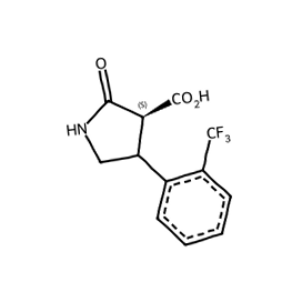 O=C(O)[C@@H]1C(=O)NCC1c1ccccc1C(F)(F)F